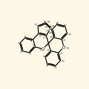 c1ccc2c(c1)OC1(c3ccccc3Oc3ccccc31)c1c-2cc2ccccn12